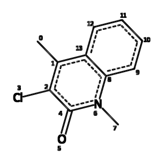 Cc1c(Cl)c(=O)n(C)c2ccccc12